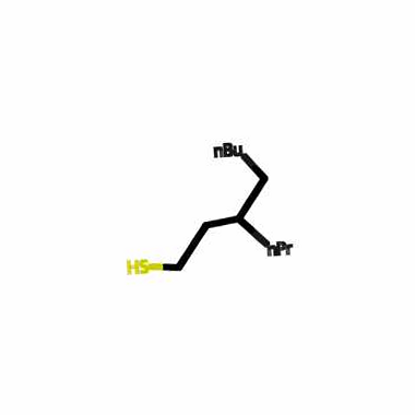 CCCCCC(CCC)CCS